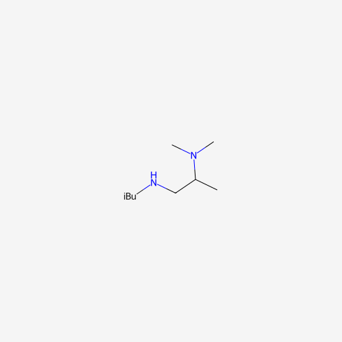 CCC(C)NCC(C)N(C)C